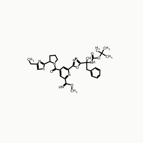 CCc1csc(C2CCCN2C(=O)c2cc(C(=N)OC)nc(-c3nnc(C(C)(Cc4ccccc4)NC(=O)OC(C)(C)C)o3)c2)n1